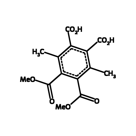 COC(=O)c1c(C)c(C(=O)O)c(C(=O)O)c(C)c1C(=O)OC